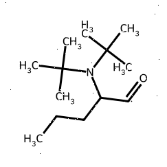 CCCC([C]=O)N(C(C)(C)C)C(C)(C)C